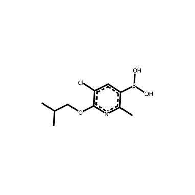 Cc1nc(OCC(C)C)c(Cl)cc1B(O)O